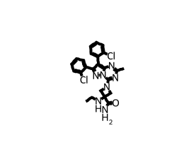 CCNC1(C(N)=O)CN(c2nc(C)nc3c(-c4ccccc4Cl)c(-c4ccccc4Cl)nn23)C1